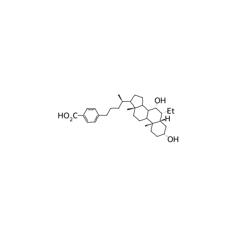 CC[C@H]1[C@@H](O)C2C3CCC([C@H](C)CCCc4ccc(C(=O)O)cc4)[C@@]3(C)CCC2[C@@]2(C)CC[C@@H](O)C[C@@H]12